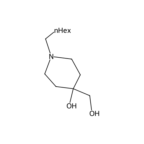 CCCCCCCN1CCC(O)(CO)CC1